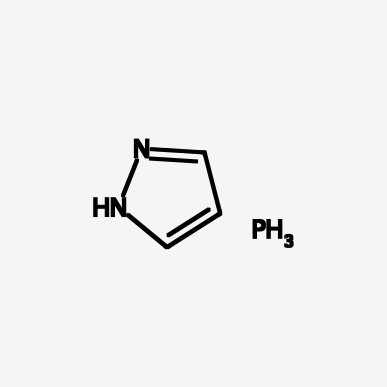 P.c1cn[nH]c1